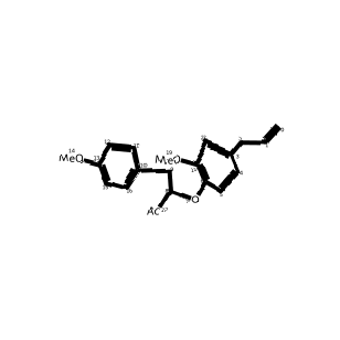 C=CCc1ccc(OC(Cc2ccc(OC)cc2)C(C)=O)c(OC)c1